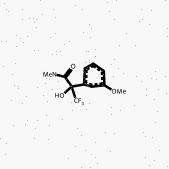 CNC(=O)C(O)(c1cccc(OC)c1)C(F)(F)F